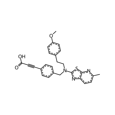 COc1ccc(CCN(Cc2ccc(C#CC(=O)O)cc2)c2nc3ccc(C)nc3s2)cc1